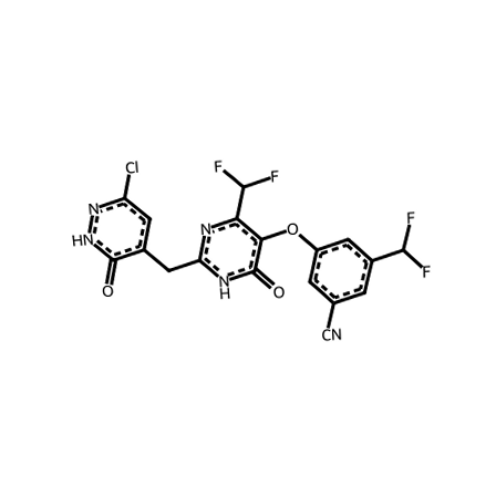 N#Cc1cc(Oc2c(C(F)F)nc(Cc3cc(Cl)n[nH]c3=O)[nH]c2=O)cc(C(F)F)c1